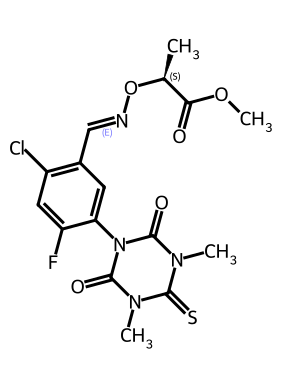 COC(=O)[C@H](C)O/N=C/c1cc(-n2c(=O)n(C)c(=S)n(C)c2=O)c(F)cc1Cl